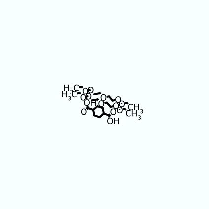 CCOOCCOCCOOCC.CCOOCCOCCOOCC.O=C(O)C1CCC(C(=O)O)CC1